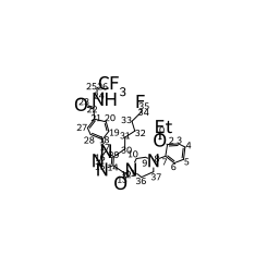 CCOc1ccccc1N1CCN(C(=O)c2nnn(-c3ccc(C(=O)NCC(F)(F)F)cc3)c2CCCCCF)CC1